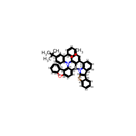 Cc1cc2c3c(c1)N(c1ccc(C(C)(C)C)cc1-c1ccccc1)c1c(ccc4oc5ccccc5c14)B3n1c3sc4ccccc4c3c3cccc-2c31